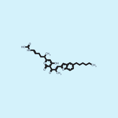 CCCCCCc1ccc2oc(/C=C(\C)C(=O)c3c(O)cc(C(C)CCC=CNC(=O)O)oc3=O)cc2c1